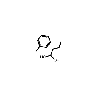 CCCC(O)O.Cc1ccccc1